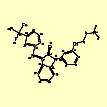 CN(C)CCOc1cccc(N2C(=O)C(=Nc3cccc(C(F)(F)F)c3)c3ccccc32)c1